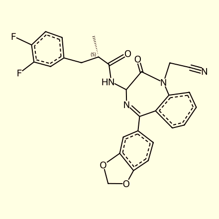 C[C@@H](Cc1ccc(F)c(F)c1)C(=O)NC1N=C(c2ccc3c(c2)OCO3)c2ccccc2N(CC#N)C1=O